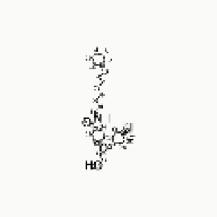 O=C(NCCCCCCCCc1ccccc1)c1ccc(OCCO)c(-c2ccc(F)c(Cl)c2)c1